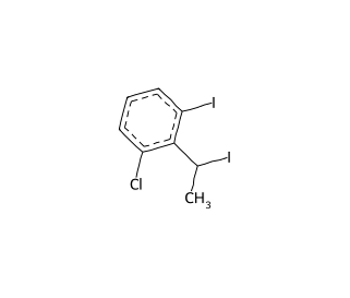 CC(I)c1c(Cl)cccc1I